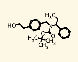 CCC(c1ccccc1)N(Cc1ccc(CCO)cc1)C(=O)OC(C)(C)C